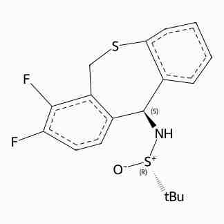 CC(C)(C)[S@+]([O-])N[C@@H]1c2ccccc2SCc2c1ccc(F)c2F